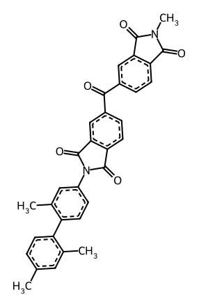 Cc1ccc(-c2ccc(N3C(=O)c4ccc(C(=O)c5ccc6c(c5)C(=O)N(C)C6=O)cc4C3=O)cc2C)c(C)c1